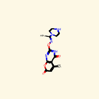 CCC/C(=N\Oc1nc2oc(=O)cc(CC)c2c(=O)[nH]1)N1CCNCC1